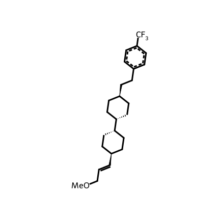 COCC=C[C@H]1CC[C@H]([C@H]2CC[C@H](CCc3ccc(C(F)(F)F)cc3)CC2)CC1